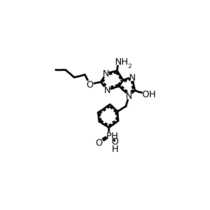 CCCCOc1nc(N)c2nc(O)n(Cc3cccc([PH](=O)O)c3)c2n1